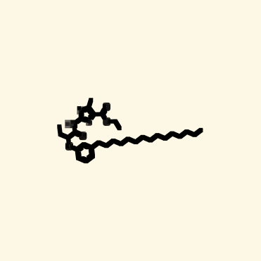 CCCCCCCCCCCCCCCc1cccc(OC(CC)C(=O)Nc2nc(C)c(C(=O)OCC)s2)c1